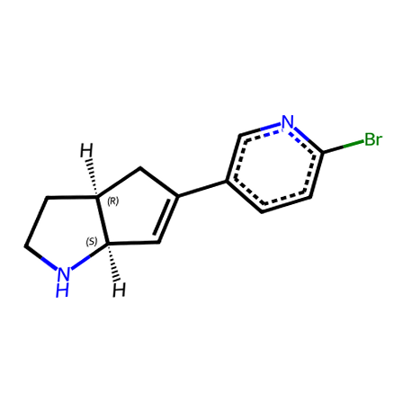 Brc1ccc(C2=C[C@H]3NCC[C@H]3C2)cn1